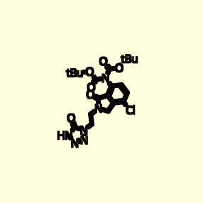 CC(C)(C)OC(=O)N(C(=O)OC(C)(C)C)c1ccc(Cl)c2c1C(=O)N(CCn1nn[nH]c1=O)C2